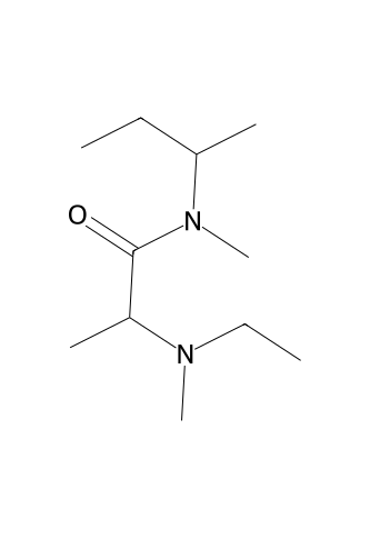 CCC(C)N(C)C(=O)C(C)N(C)CC